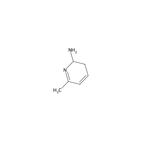 CC1=NC(N)CC=C1